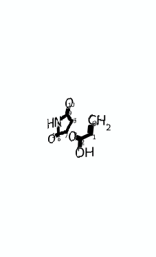 C=CC(=O)O.O=C1CCC(=O)N1